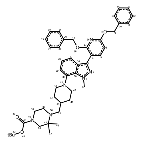 Cn1nc(-c2ccc(OCc3ccccc3)nc2OCc2ccccc2)c2cccc(N3CCC(CN4CCN(C(=O)OC(C)(C)C)CC4(C)C)CC3)c21